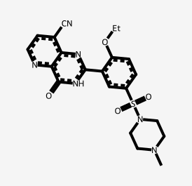 CCOc1ccc(S(=O)(=O)N2CCN(C)CC2)cc1-c1nc2c(C#N)ccnc2c(=O)[nH]1